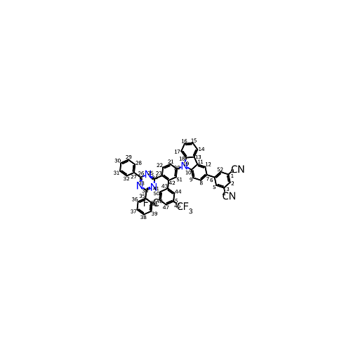 N#Cc1cc(C#N)cc(-c2ccc3c(c2)c2ccccc2n3-c2ccc(-c3nc(-c4ccccc4)nc(-c4ccccc4)n3)c(-c3cc(C(F)(F)F)cc(C(F)(F)F)c3)c2)c1